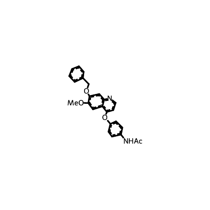 COc1cc2c(Oc3ccc(NC(C)=O)cc3)ccnc2cc1OCc1ccccc1